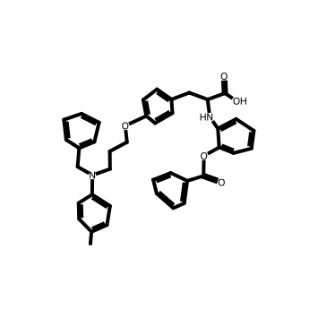 Cc1ccc(N(CCCOc2ccc(CC(Nc3ccccc3OC(=O)c3ccccc3)C(=O)O)cc2)Cc2ccccc2)cc1